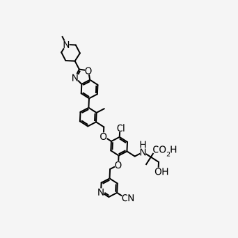 Cc1c(COc2cc(OCc3cncc(C#N)c3)c(CNC(C)(CO)C(=O)O)cc2Cl)cccc1-c1ccc2oc(C3CCN(C)CC3)nc2c1